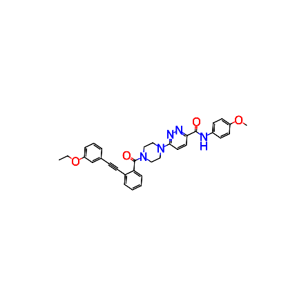 CCOc1cccc(C#Cc2ccccc2C(=O)N2CCN(c3ccc(C(=O)Nc4ccc(OC)cc4)nn3)CC2)c1